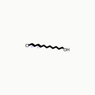 OCCCCCCC/C=C/C=C/Cl